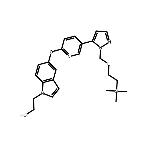 C[Si](C)(C)CCOCn1nccc1-c1ccc(Oc2ccc3c(ccn3CCO)c2)nc1